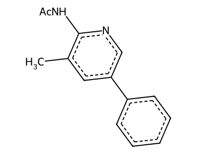 CC(=O)Nc1ncc(-c2ccccc2)cc1C